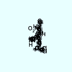 CC1(C)CCC(CN2CCN(c3ccc(C(=O)NS(=O)(=O)c4ccc(NCC5CCOCC5)c([N+](=O)[O-])c4)c(Oc4cnc5[nH]ccc5c4)c3)CC2)=C(c2ccc(Cl)c(Cl)c2)C1